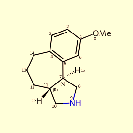 COc1ccc2c(c1)[C@H]1CNC[C@@H]1CCC2